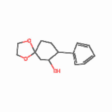 OC1CC2(CCC1c1ccccc1)OCCO2